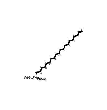 C=CCCCCCCCCCCCCCCCCCC[SiH](OC)OC